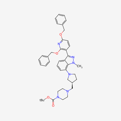 Cn1nc(-c2ccc(OCc3ccccc3)nc2OCc2ccccc2)c2cccc(N3CC[C@@H](CN4CCN(C(=O)OC(C)(C)C)CC4)C3)c21